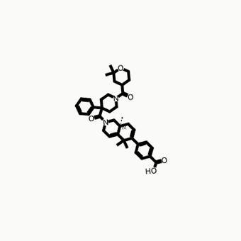 CC1(C)CC(C(=O)N2CCC(C(=O)N3CC=C4C(C)(C)C(c5ccc(C(=O)O)cc5)=CC[C@]4(C)C3)(c3ccccc3)CC2)CCO1